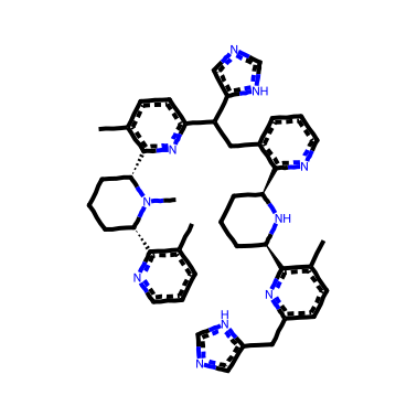 Cc1ccc(C(Cc2cccnc2[C@@H]2CCC[C@H](c3nc(Cc4cnc[nH]4)ccc3C)N2)c2cnc[nH]2)nc1[C@H]1CCC[C@@H](c2ncccc2C)N1C